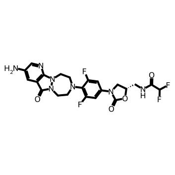 Nc1cnc2c(c1)c(=O)n1n2CCN(c2c(F)cc(N3C[C@H](CNC(=O)C(F)F)OC3=O)cc2F)CC1